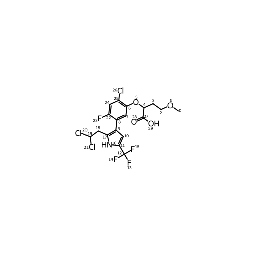 COCCC(Oc1cc(-c2cc(C(F)(F)F)[nH]c2CC(Cl)Cl)c(F)cc1Cl)C(=O)O